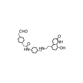 O=CCc1ccc(CC(=O)Nc2ccc(CNCCc3ccc(O)c4[nH]c(=O)ccc34)cc2)cc1